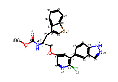 CC(C)(C)OC(=O)N[C@H](COc1cnc(Cl)c(-c2ccc3[nH]ncc3c2)c1)Cc1csc2ccccc12